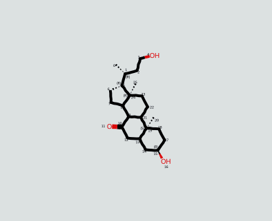 C[C@H](CCO)[C@H]1CCC2C3C(=O)CC4C[C@H](O)CC[C@]4(C)C3CC[C@@]21C